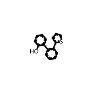 Oc1ccccc1-c1ccccc1-c1cccs1